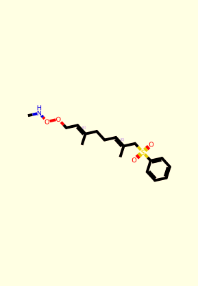 CNOOC/C=C(\C)CC/C=C(\C)CS(=O)(=O)c1ccccc1